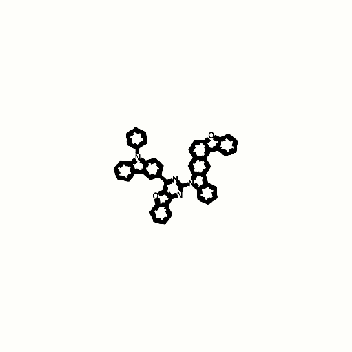 c1ccc(-n2c3ccccc3c3cc(-c4nc(-n5c6ccccc6c6cc7c(ccc8oc9ccccc9c87)cc65)nc5c4oc4ccccc45)ccc32)cc1